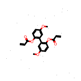 C=CC(=O)Oc1ccc(OC)cc1-c1cc(OC)ccc1OC(=O)C=C